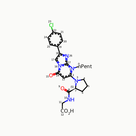 CCCCCn1c(N2CCC[C@H]2C(=O)NCC(=O)O)cc(=O)n2cc(-c3ccc(Cl)cc3)nc12